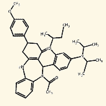 CCC(C)Oc1cc(N(C(C)C)C(C)C)ccc1C1C2=C(CC(c3ccc(OC)cc3)CC2=O)Nc2ccccc2N1C(C)=O